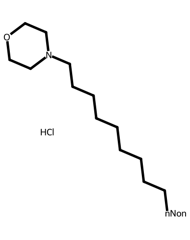 CCCCCCCCCCCCCCCCCCN1CCOCC1.Cl